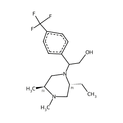 CC[C@@H]1CN(C)[C@@H](C)CN1C(CO)c1ccc(C(F)(F)F)cc1